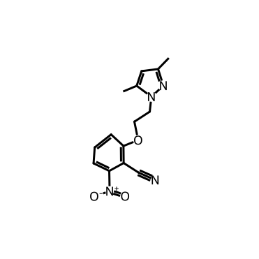 Cc1cc(C)n(CCOc2cccc([N+](=O)[O-])c2C#N)n1